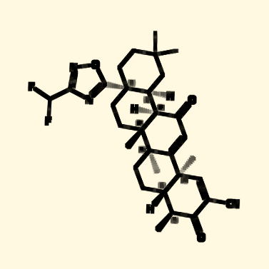 C[C@@H]1C(=O)C(C#N)=C[C@]2(C)C3=CC(=O)[C@@H]4[C@@H]5CC(C)(C)CC[C@]5(c5nc(C(F)F)no5)CC[C@@]4(C)[C@]3(C)CC[C@@H]12